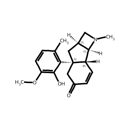 COc1ccc(C)c([C@@]23CC(=O)C=C[C@H]2[C@H]2[C@H](CN2C)C3)c1O